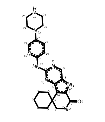 O=C1NCC2(CCCCC2)c2c1[nH]c1cnc(Nc3ccc(N4CCNCC4)cn3)nc21